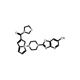 N#Cc1cnc2nc(N3CCN([N@@+]45C=CC=C4C=C(C(=O)N4CCSC4)C5)CC3)oc2c1